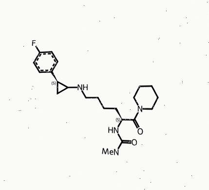 CNC(=O)N[C@@H](CCCCNC1C[C@H]1c1ccc(F)cc1)C(=O)N1CCCCC1